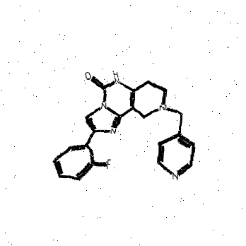 O=c1[nH]c2c(c3nc(-c4ccccc4F)cn13)CN(Cc1ccncc1)CC2